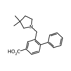 CC1(C)CCN(Cc2cc(C(=O)O)ccc2-c2ccccc2)C1